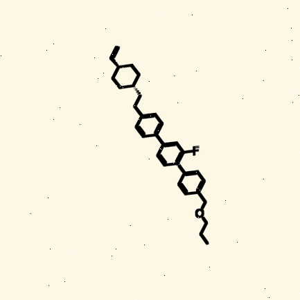 C=C[C@H]1CC[C@H](CCc2ccc(-c3ccc(-c4ccc(COCCC)cc4)c(F)c3)cc2)CC1